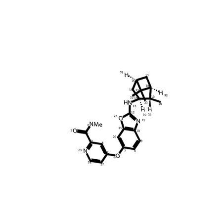 CNC(=O)c1cc(Oc2ccc3nc(N[C@H]4C[C@H]5C[C@@H]([C@@H]4C)C5(C)C)oc3c2)ccn1